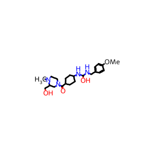 COc1ccc(CNC(O)NC2CCC(C(=O)N3CCN(C)C(CO)C3)CC2)cc1